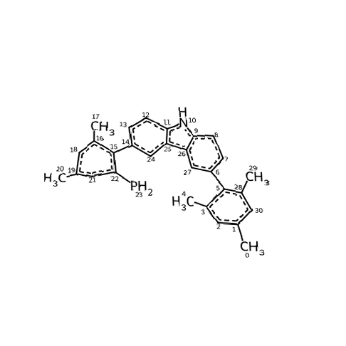 Cc1cc(C)c(-c2ccc3[nH]c4ccc(-c5c(C)cc(C)cc5P)cc4c3c2)c(C)c1